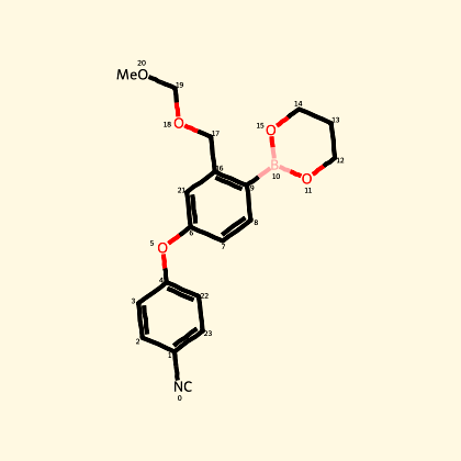 [C-]#[N+]c1ccc(Oc2ccc(B3OCCCO3)c(COCOC)c2)cc1